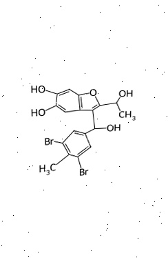 Cc1c(Br)cc(C(O)c2c(C(C)O)oc3cc(O)c(O)cc23)cc1Br